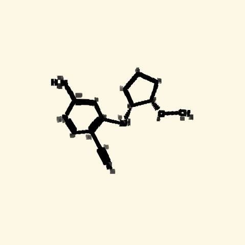 CO[C@H]1CCC[C@H]1Nc1cc(N)ncc1C#N